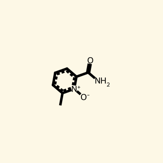 Cc1cccc(C(N)=O)[n+]1[O-]